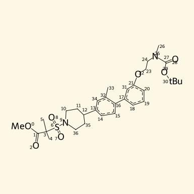 COC(=O)C(C)(C)S(=O)(=O)N1CCC(c2ccc(-c3cccc(OCCN(C)C(=O)OC(C)(C)C)c3)c(C)c2)CC1